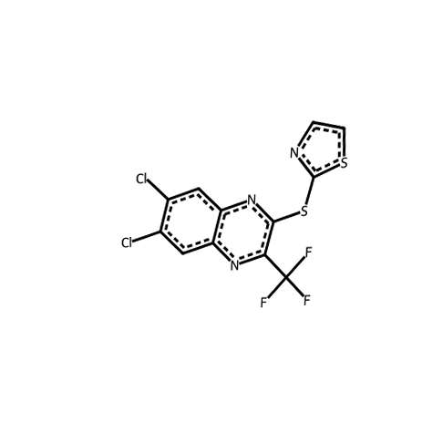 FC(F)(F)c1nc2cc(Cl)c(Cl)cc2nc1Sc1nccs1